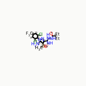 CCC(CC)C(=O)NNC(=N)c1nn(-c2c(Cl)cc(C(F)(F)F)cc2Cl)c(N)c1[S+](C)[O-]